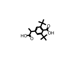 CC(C(=O)O)c1cc(C(C)(C)C)c(C(=O)O)c(C(C)(C)C)c1